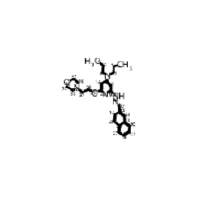 CCCN(CCC)c1cc(N/N=C/c2ccc3ccccc3c2)nc(OCCN2CCOCC2)c1